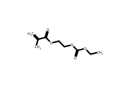 C=C(C)C(=O)OCCOC(=O)O[CH]C